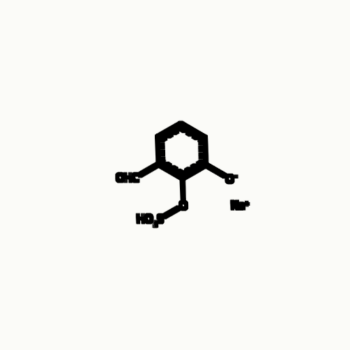 O=Cc1cccc([O-])c1OS(=O)(=O)O.[Na+]